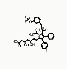 CC(C)n1c(/C=C/C(O)CC(O)CC(=O)O)c(-c2ccc(F)cc2)c(-c2ccccc2)c1C(=O)NCc1cccc(OC(F)(F)F)c1